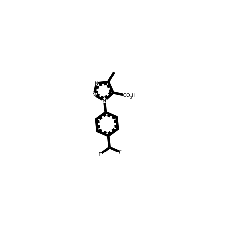 Cc1nnn(-c2ccc(C(F)F)cc2)c1C(=O)O